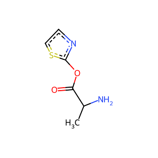 CC(N)C(=O)Oc1nccs1